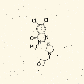 Cn1c([C@@H]2CCN(CC3COC3)C2)nc2cc(Cl)c(Cl)cc2c1=O